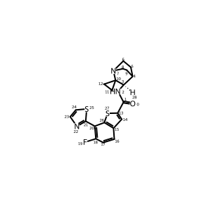 O=C(N[C@@H]1C2CCN(CC2)C12CC2)c1cc2ccc(F)c(-c3nccs3)c2s1